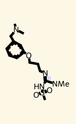 CN/C(=N/CCCOc1cccc(CN(C)C)c1)NS(C)(=O)=O